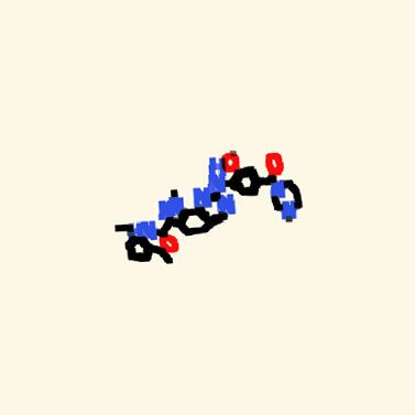 CCc1cccc(CC)c1NC(=O)c1nn(C)c2c1CCc1cnc(Nc3ccc(C(=O)N4CCCN(C)CC4)cc3OC)nc1-2